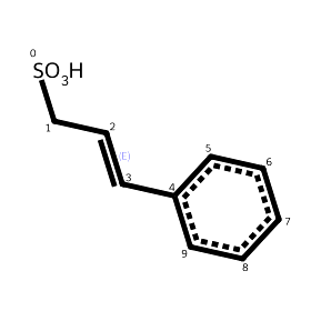 O=S(=O)(O)C/C=C/c1ccccc1